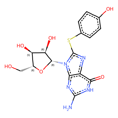 Nc1nc2c(nc(Sc3ccc(O)cc3)n2[C@@H]2O[C@H](CO)[C@@H](O)[C@H]2O)c(=O)[nH]1